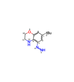 CC(C)(C)c1cc(N=N)c2c(c1)OCCN2